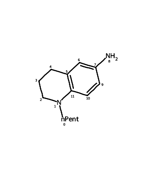 CCCCCN1CCCc2cc(N)ccc21